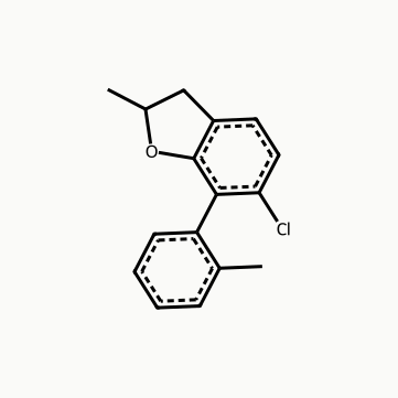 Cc1ccccc1-c1c(Cl)ccc2c1OC(C)C2